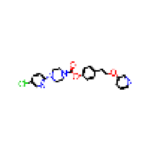 O=C(Oc1ccc(CCOc2cccnc2)cc1)N1CCN(c2ccc(Cl)cn2)CC1